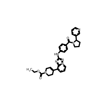 CCOC(=O)N1CC=C(c2cccn3nc(Nc4ccc(C(=O)N5CCCC5c5cccnc5)cc4)nc23)CC1